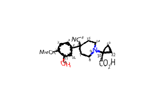 COc1ccc(C2(C#N)CCN(C3(C(=O)O)CC3)CC2)cc1O